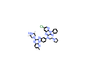 Cc1ccc2nc(N3C[C@@H](C)N[C@@H](C)C3)c3nc4cc(N(CCN5CCCC5)c5nc6cc(Cl)cnc6n6c5nc5ccccc56)ccc4n3c2n1